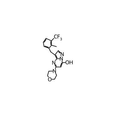 Cc1c(Cc2cnn3c(O)cc(N4CCOCC4)nc23)cccc1C(F)(F)F